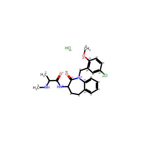 CNC(C)C(=O)NC1CCc2ccccc2N(Cc2cc(Cl)ccc2OC)C1=O.Cl